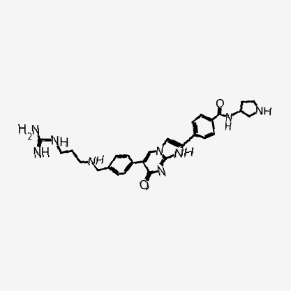 N=C(N)NCCCNCc1ccc(-c2cn3cc(-c4ccc(C(=O)NC5CCNC5)cc4)[nH]c3nc2=O)cc1